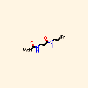 CNC(=O)NCCC(=O)NCCC(C)C